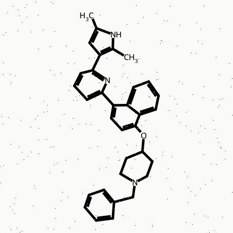 Cc1cc(-c2cccc(-c3ccc(OC4CCN(Cc5ccccc5)CC4)c4ccccc34)n2)c(C)[nH]1